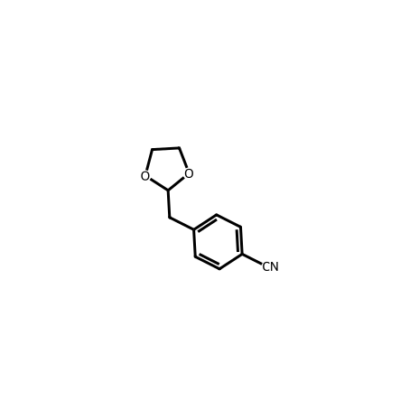 N#Cc1ccc(CC2OCCO2)cc1